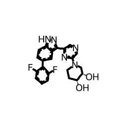 O[C@@H]1CCN(c2cncc(-c3n[nH]c4ccc(-c5c(F)cccc5F)cc34)n2)C[C@@H]1O